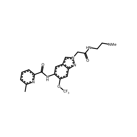 CNCCNC(=O)Cn1cc2cc(NC(=O)c3cccc(C)n3)c(OC(F)(F)F)cc2n1